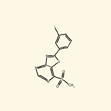 CS(=O)(=O)c1ncnc2nc(-c3cccc(I)c3)sc12